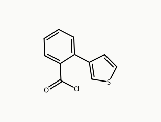 O=C(Cl)c1ccccc1-c1ccsc1